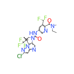 CCN(C)C(=O)c1ncc(NC(=O)N2C[C@@](C)(C(F)(F)F)c3c2cnc2cc(Cl)nn32)cc1C(F)F